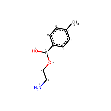 Cc1ccc(B(O)OCCN)cc1